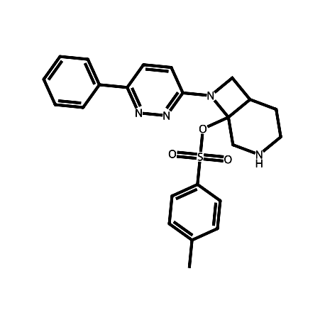 Cc1ccc(S(=O)(=O)OC23CNCCC2CN3c2ccc(-c3ccccc3)nn2)cc1